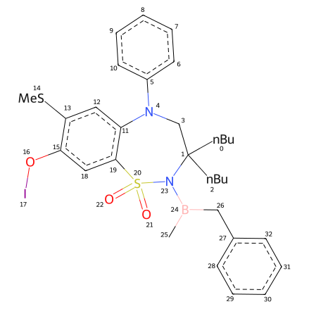 CCCCC1(CCCC)CN(c2ccccc2)c2cc(SC)c(OI)cc2S(=O)(=O)N1B(C)Cc1ccccc1